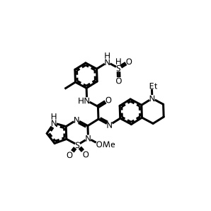 CCN1CCCc2cc(/N=C(\C(=O)Nc3cc(N[SH](=O)=O)ccc3C)C3=Nc4[nH]ccc4S(=O)(=O)N3OC)ccc21